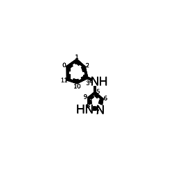 c1ccc(Nc2cn[nH]c2)cc1